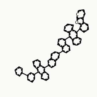 c1ccc(-c2cccc(-c3c4ccccc4c(-c4ccc5cc(-c6cccc7c(-c8c9ccccc9c(-c9cccc%10c9oc9ccccc9%10)c9ccccc89)cccc67)ccc5c4)c4ccccc34)c2)cc1